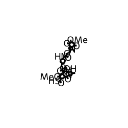 C=C1C[C@H]2C(O)N(C(=O)OCc3ccc(NC(=O)OCc4cc5c(n4C)C(=O)C=C(OC)C5=O)cc3)c3cc(OC)c(C(=O)S)cc3C(=O)N2C1